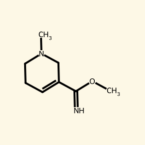 COC(=N)C1=CCCN(C)C1